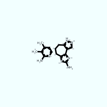 Cc1ccnc(N)c1C.Nc1nc2c(s1)CCCc1[nH]ncc1-2